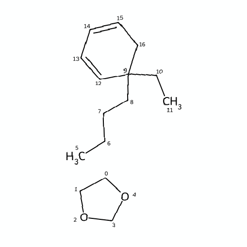 C1COCO1.CCCCC1(CC)C=CC=CC1